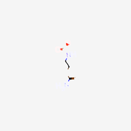 NC(=S)SCCN[SH](=O)=O